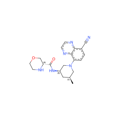 C[C@H]1C[C@@H](NC(=O)[C@H]2COCCN2)CN(c2ccc(C#N)c3nccnc23)C1